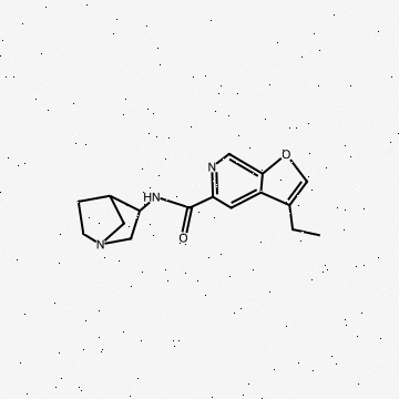 CCc1coc2cnc(C(=O)NC3CN4CCC3C4)cc12